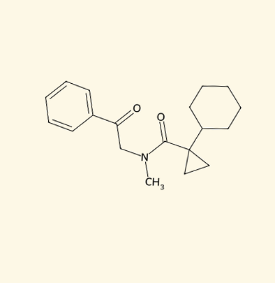 CN(CC(=O)c1ccccc1)C(=O)C1(C2CCCCC2)CC1